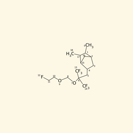 CC1C2CC(CC(OCOCCF)(C(F)(F)F)C(F)(F)F)C(C2)C1C